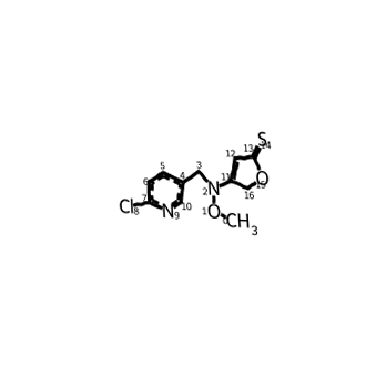 CON(Cc1ccc(Cl)nc1)C1=CC(=S)OC1